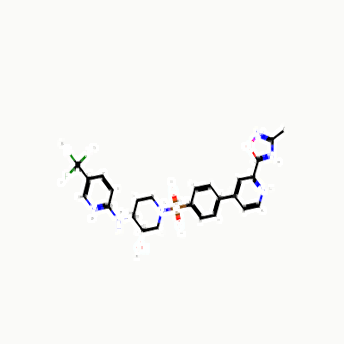 Cc1noc(-c2cc(-c3ccc(S(=O)(=O)N4CC[C@@H](Nc5ccc(C(F)(F)F)cn5)[C@@H](O)C4)cc3)ccn2)n1